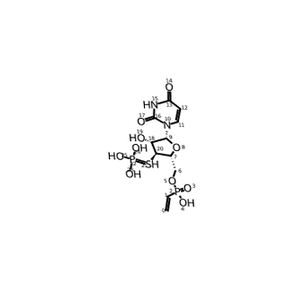 C=CP(=O)(O)OC[C@H]1O[C@@H](n2ccc(=O)[nH]c2=O)[C@@H](O)[C@@H]1[SH]=P(O)(O)O